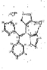 CC1=[C]([Ti]([C]2=C(C)C=CC2)=[C](c2ccccc2)c2ccccc2)CC=C1.Cl.Cl